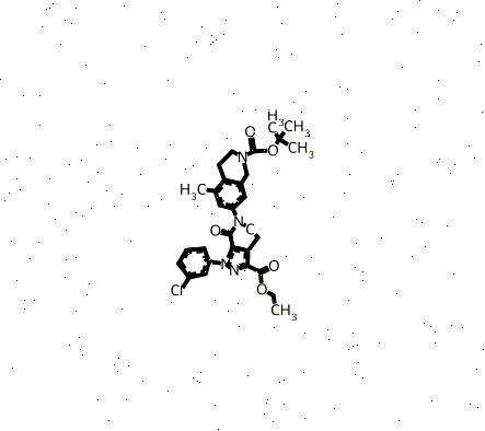 CCOC(=O)c1nn(-c2cccc(Cl)c2)c2c1CCN(c1cc(C)c3c(c1)CN(C(=O)OC(C)(C)C)CC3)C2=O